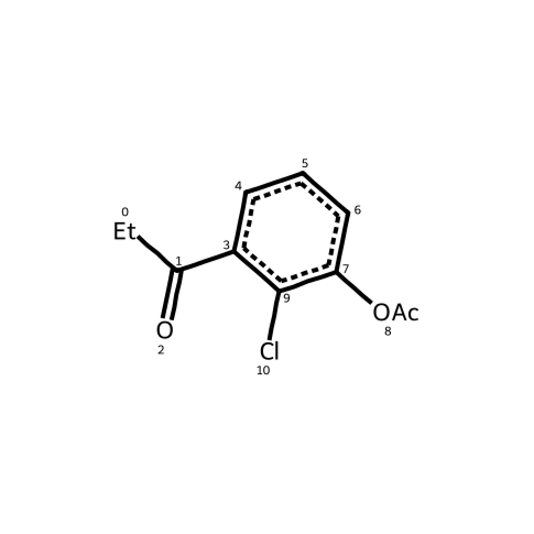 CCC(=O)c1cccc(OC(C)=O)c1Cl